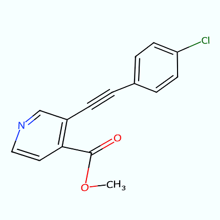 COC(=O)c1ccncc1C#Cc1ccc(Cl)cc1